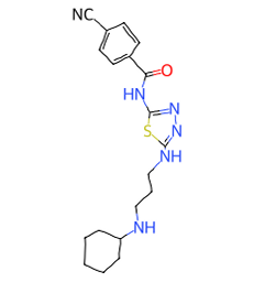 N#Cc1ccc(C(=O)Nc2nnc(NCCCNC3CCCCC3)s2)cc1